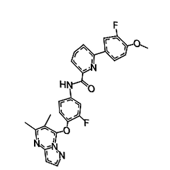 COc1ccc(-c2cccc(C(=O)Nc3ccc(Oc4c(C)c(C)nc5ccnn45)c(F)c3)n2)cc1F